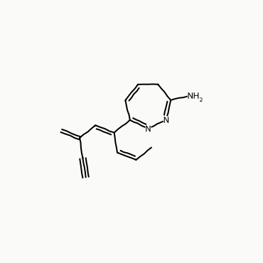 C#CC(=C)/C=C(\C=C/C)C1=NN=C(N)CC=C1